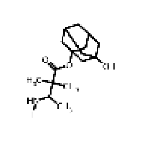 CC(NI)C(C)(C)C(=O)OC12CC3CC(CC(O)(C3)C1)C2